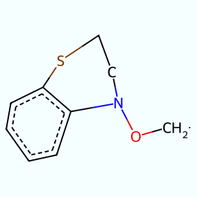 [CH2]ON1CCSc2ccccc21